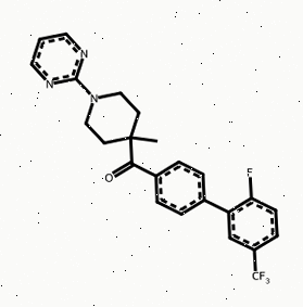 CC1(C(=O)c2ccc(-c3cc(C(F)(F)F)ccc3F)cc2)CCN(c2ncccn2)CC1